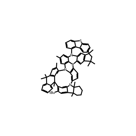 Cc1cc2c3c(c1)N(c1cccc4sc5ccccc5c14)c1cc4c(cc1B3c1ccc3cc1N2c1cc2c(cc1C)C(C)(C)c1ccccc1C2(C)c1cc2c(cc1C(C)(C)C)C1(C)CCCCC1(C)N32)C(C)(C)CC4(C)C